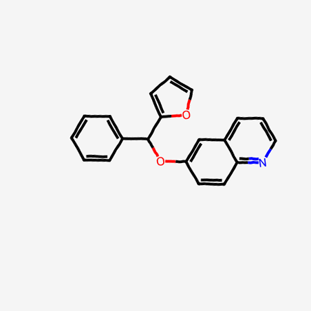 c1ccc(C(Oc2ccc3ncccc3c2)c2ccco2)cc1